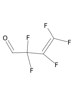 O=CC(F)(F)C(F)=C(F)F